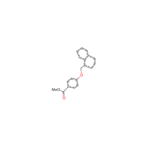 COC(=O)c1ccc(OCc2cccc3ccccc23)cc1